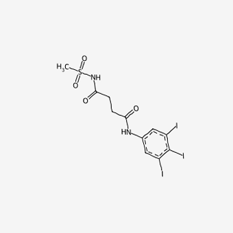 CS(=O)(=O)NC(=O)CCC(=O)Nc1cc(I)c(I)c(I)c1